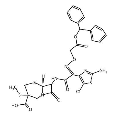 CSC1(C(=O)O)CS[C@@H]2C(NC(=O)C(=NOCC(=O)OC(c3ccccc3)c3ccccc3)c3nc(N)sc3Cl)C(=O)N2C1